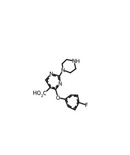 O=C(O)c1cnc(N2CCNCC2)nc1Oc1ccc(F)cc1